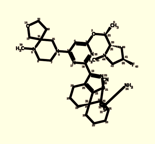 C[C@H](Oc1cc(N2CCN(C)C3(CCOC3)C2)nc(-c2noc3c2CCC[C@@]32CCCc3sc(N)c(C#N)c32)n1)[C@@H]1C[C@@H](F)CN1C